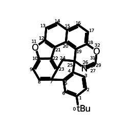 CC(C)(C)c1ccc2c(c1)-c1ccc3oc4ccc5ccc6c7c5c4c3c1CC27[n+]1ccccc1O6